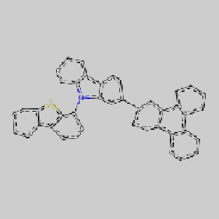 c1ccc2c(c1)sc1c(-n3c4ccccc4c4ccc(-c5ccc6c7ccccc7c7ccccc7c6c5)cc43)cccc12